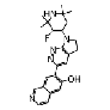 CC1(C)C[C@H](N2CCc3cc(-c4cc5cnccc5cc4O)nnc32)[C@H](F)C(C)(C)N1